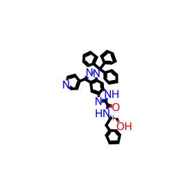 O=C(N[C@H](CO)Cc1ccccc1)c1nc2cc3c(-c4ccncc4)nn(C(c4ccccc4)(c4ccccc4)c4ccccc4)c3cc2[nH]1